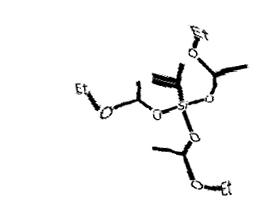 C=C(C)[Si](OC(C)OCC)(OC(C)OCC)OC(C)OCC